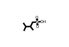 C[C](C)C(C)CS(=O)(=O)O